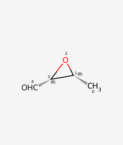 C[C@H]1O[C@H]1C=O